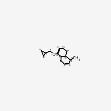 CC1C=CCC2C(OCC3CC3)=CCCC12